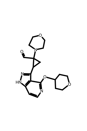 O=CC1(N2CCOCC2)CC1c1n[nH]c2ccnc(OC3CCOCC3)c12